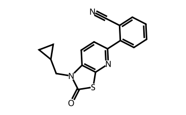 N#Cc1ccccc1-c1ccc2c(n1)sc(=O)n2CC1CC1